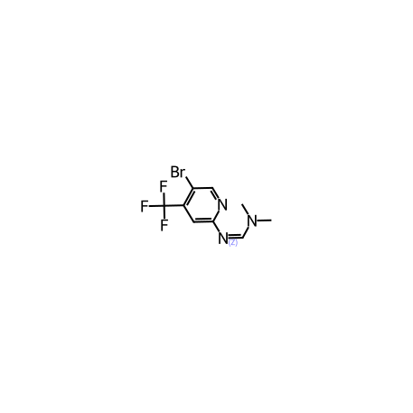 CN(C)/C=N\c1cc(C(F)(F)F)c(Br)cn1